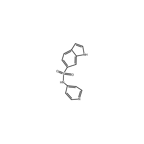 O=S(=O)(Nc1ccncc1)c1ccc2cc[nH]c2c1